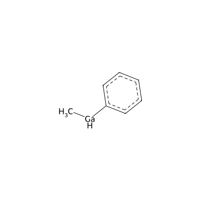 [CH3][GaH][c]1ccccc1